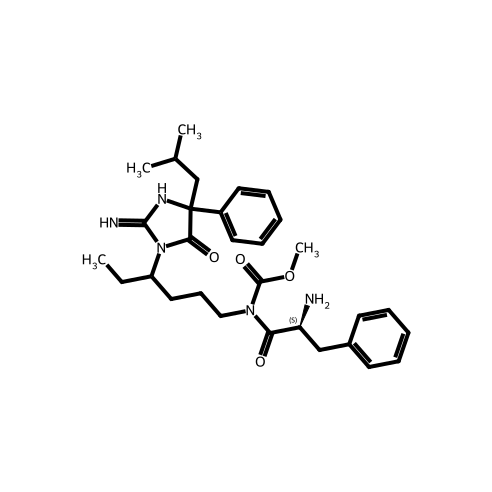 CCC(CCCN(C(=O)OC)C(=O)[C@@H](N)Cc1ccccc1)N1C(=N)NC(CC(C)C)(c2ccccc2)C1=O